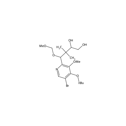 CCCCOc1c(Br)cnc(C(OCOC)C(C)(C)C(O)CO)c1OC